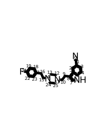 N#Cc1ccc2[nH]cc(CCN3CCN(CCc4ccc(F)cc4)CC3)c2c1